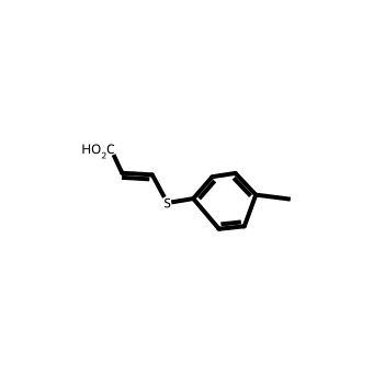 Cc1ccc(S/C=C/C(=O)O)cc1